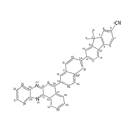 CC1(C)c2cc(C#N)ccc2-c2ccc(-c3ccc4cc(-c5cc6nc7ccccc7nc6c6ccccc56)ccc4c3)cc21